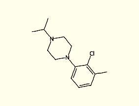 Cc1cccc(N2CCN(C(C)C)CC2)c1Cl